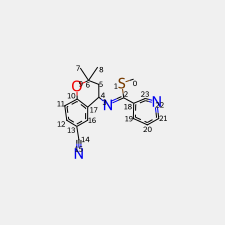 CSC(=NC1CC(C)(C)Oc2ccc(C#N)cc21)c1cccnc1